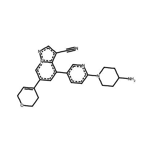 N#Cc1cnn2cc(C3=CCOCC3)cc(-c3ccc(N4CCC(N)CC4)nc3)c12